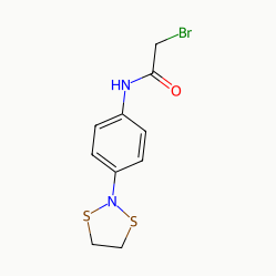 O=C(CBr)Nc1ccc(N2SCCS2)cc1